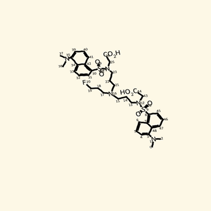 CN(C)c1cccc2c(S(=O)(=O)N(CCCN(CCCF)CCCN(CC(=O)O)S(=O)(=O)c3cccc4c(N(C)C)cccc34)CC(=O)O)cccc12